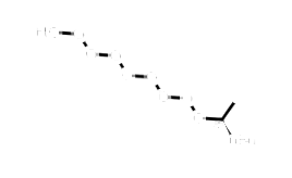 CCCC[C@H](C)OOOOOOOOO